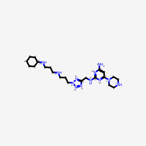 Nc1cc(N2CCNCC2)nc(NCc2nnn(CCCNCCCNC3CCCCC3)n2)n1